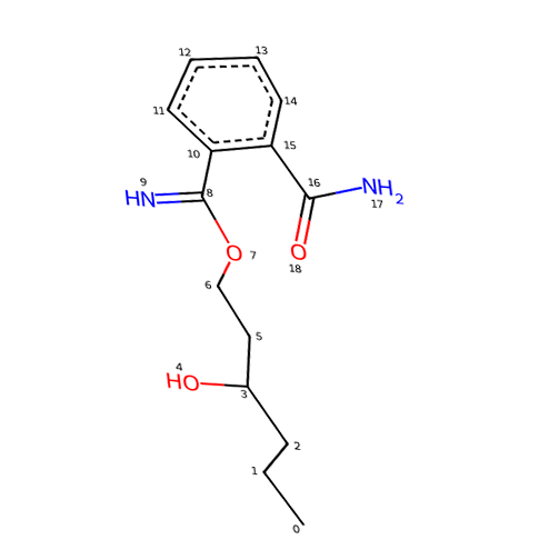 CCCC(O)CCOC(=N)c1ccccc1C(N)=O